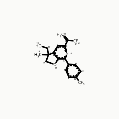 C=C(c1cc2c(c(-c3ccc(C(F)(F)F)cc3)n1)OCC2(C)CO)C(F)(F)F